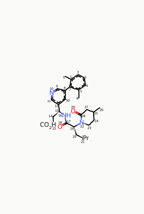 Cc1cccc(C)c1-c1cncc([C@H](CC(=O)O)NC(=O)[C@H](CC(C)C)N2CCC(C)CC2=O)c1